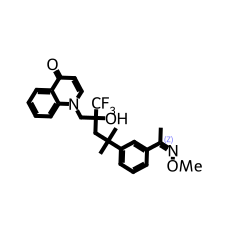 CO/N=C(/C)c1cccc(C(C)(C)CC(O)(Cn2ccc(=O)c3ccccc32)C(F)(F)F)c1